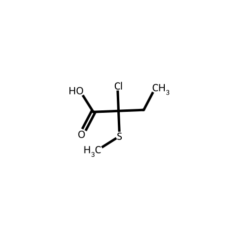 CCC(Cl)(SC)C(=O)O